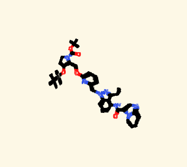 CCc1nn(Cc2cccc(OCC3C(O[Si](C)(C)C(C)(C)C)CCN3C(=O)OC(C)(C)C)n2)c2cccc(NC(=O)c3cnc4ccccn34)c12